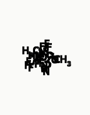 CCN(C(=O)NC(CCC(F)(F)F)C(F)(F)F)C(c1ccc(OC)c(-c2ccc3nccn3c2)c1)C(F)(F)F